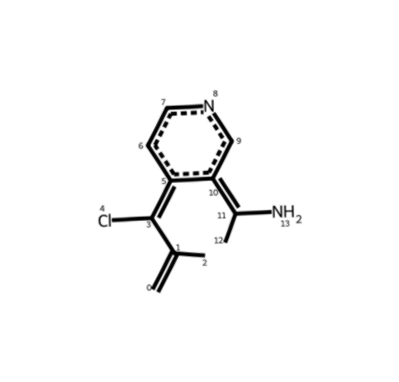 C=C(C)/C(Cl)=c1/ccnc/c1=C(/C)N